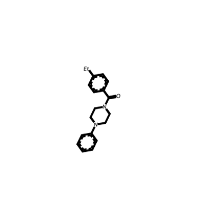 CCc1ccc(C(=O)N2CCN(c3ccccc3)CC2)cc1